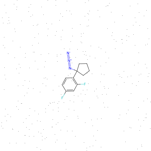 [N-]=[N+]=NC1(c2ccc(F)cc2F)CCCC1